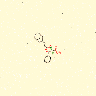 O=C(CCC1CC2CCCC(C2)C1)OC(c1ccccc1)C(F)(F)C(=O)O